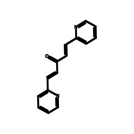 O=C(C=Cc1ccccn1)C=Cc1ccccn1